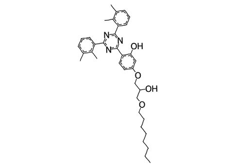 CCCCCCCCOCC(O)COc1ccc(-c2nc(-c3cccc(C)c3C)nc(-c3cccc(C)c3C)n2)c(O)c1